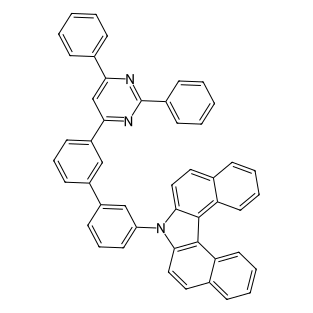 c1ccc(-c2cc(-c3cccc(-c4cccc(-n5c6ccc7ccccc7c6c6c7ccccc7ccc65)c4)c3)nc(-c3ccccc3)n2)cc1